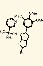 CC(N)(C#N)c1cccnc1.CCC1CC2CC(c3cc(OC)c(OC)c(OC)c3)OC2O1